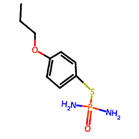 CCCOc1ccc(SP(N)(N)=O)cc1